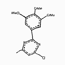 COc1cc(-c2nc(C)cc(Cl)n2)cc(OC)c1OC